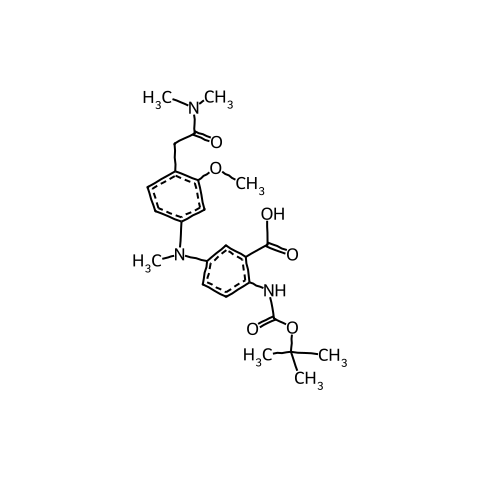 COc1cc(N(C)c2ccc(NC(=O)OC(C)(C)C)c(C(=O)O)c2)ccc1CC(=O)N(C)C